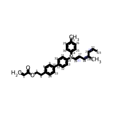 C=CC(=O)OCCc1ccc(-c2ccc(N(/C=C/C=C(C)\C=C/I)c3ccc(C)cc3)cc2)cc1